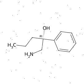 CCC[C@](O)(CN)c1ccccc1